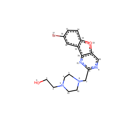 OCCN1CCN(Cc2ncc3oc4ccc(Br)cc4c3n2)CC1